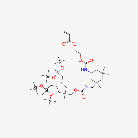 C=CC(=O)OCCOC(=O)NC1CC(C)(C)CC(C)(CNC(=O)OCC(C)(CCC[Si](C)(O[Si](C)(C)C)O[Si](C)(C)C)CCC[Si](C)(O[Si](C)(C)C)O[Si](C)(C)C)C1